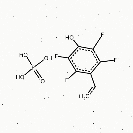 C=Cc1c(F)c(F)c(O)c(F)c1F.O=P(O)(O)O